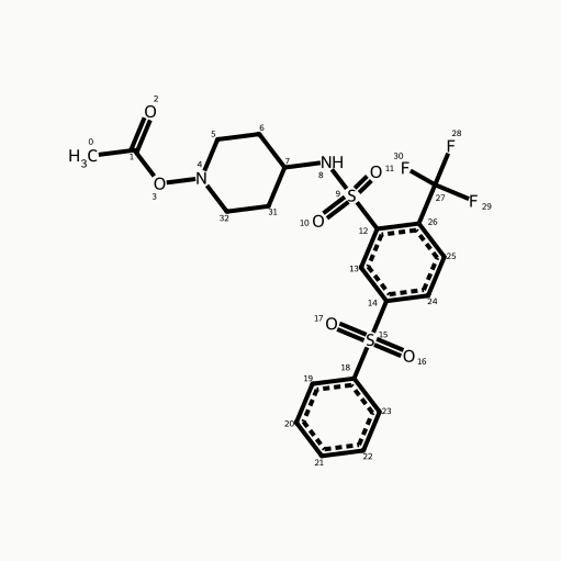 CC(=O)ON1CCC(NS(=O)(=O)c2cc(S(=O)(=O)c3ccccc3)ccc2C(F)(F)F)CC1